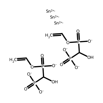 C=COP(=O)([O-])C(O)P(=O)([O-])[O-].C=COP(=O)([O-])C(O)P(=O)([O-])[O-].[Sn+2].[Sn+2].[Sn+2]